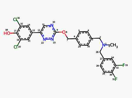 CN(Cc1ccc(COc2ncc(-c3cc(Cl)c(O)c(Cl)c3)nn2)cc1)Cc1ccc(F)c(F)c1